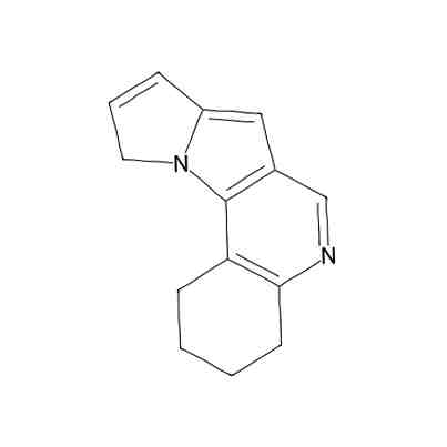 C1=Cc2cc3cnc4c(c3n2C1)CCCC4